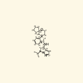 CC(C)[C@H]1C[C@@H](NCC[C@@]2(c3ccccn3)CCOC3(CCCC3)C2)c2ccnn21